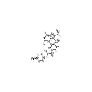 [3H]C(C)c1nn2c(C)cc(C)nc2c1C([3H])c1ccc(C([3H])C([3H])CN2CCN(C(C)C)CC2)cc1